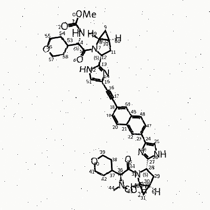 COC(=O)N[C@H](C(=O)N1[C@@H]2C[C@H]2C[C@H]1c1nc(C#Cc2ccc3cc(-c4c[nH]c([C@@H]5C[C@H]6C[C@H]6N5C(=O)[C@H](C5CCOCC5)N(C)C(=O)O)n4)ccc3c2)c[nH]1)C1CCOCC1